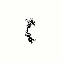 CC(C)(Sc1nc(CCOc2ncc(-c3ccc(Cl)c(Cl)c3)cn2)cs1)C(=O)O